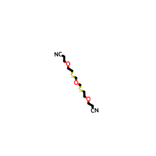 N#CCCOCCSCOCSCCOCCC#N